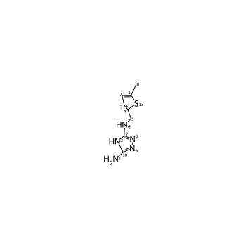 Cc1ccc(CNc2nnc(N)[nH]2)s1